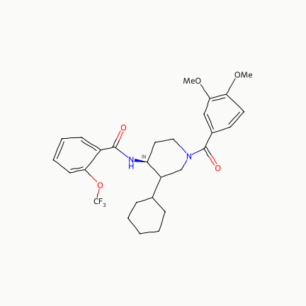 COc1ccc(C(=O)N2CC[C@H](NC(=O)c3ccccc3OC(F)(F)F)C(C3CCCCC3)C2)cc1OC